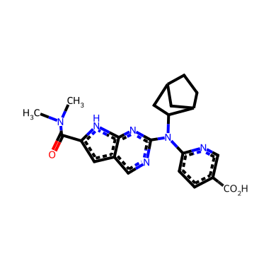 CN(C)C(=O)c1cc2cnc(N(c3ccc(C(=O)O)cn3)C3CC4CCC3C4)nc2[nH]1